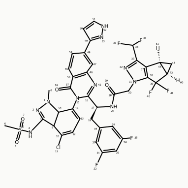 CN1N=C(NS(C)(=O)=O)C2C(Cl)=CC=C(n3c([C@H](Cc4cc(F)cc(F)c4)NC(=O)Cn4nc(C(F)F)c5c4C(F)(F)[C@@H]4C[C@H]54)nc4cc(-c5cc[nH]n5)ccc4c3=O)C21